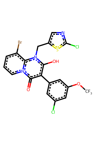 O=c1c(-c2cc(Cl)cc(OC(F)(F)F)c2)c(O)n(Cc2cnc(Cl)s2)c2c(Br)ccc[n+]12